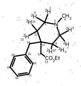 [2H]C1([2H])N(C)C([2H])([2H])C([2H])([2H])C(CC(=O)OCC)(Cc2ccccc2)C1([2H])[2H]